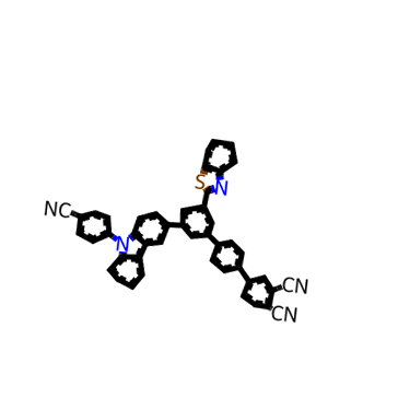 N#Cc1ccc(-n2c3ccccc3c3cc(-c4cc(-c5ccc(-c6ccc(C#N)c(C#N)c6)cc5)cc(-c5nc6ccccc6s5)c4)ccc32)cc1